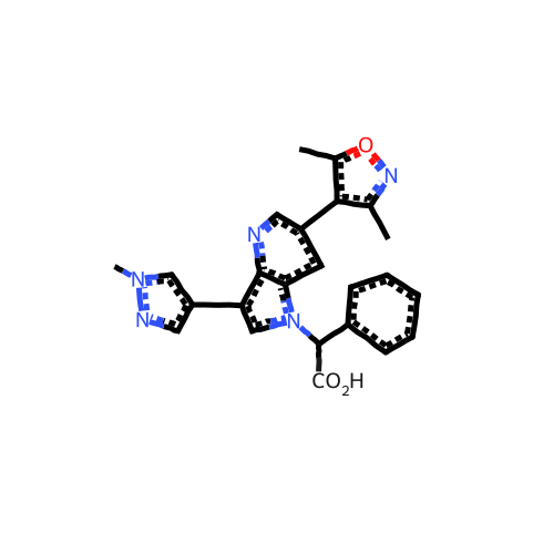 Cc1noc(C)c1-c1cnc2c(-c3cnn(C)c3)cn(C(C(=O)O)c3ccccc3)c2c1